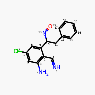 N=Cc1c(N)cc(Cl)cc1C(Cc1ccccc1)N=O